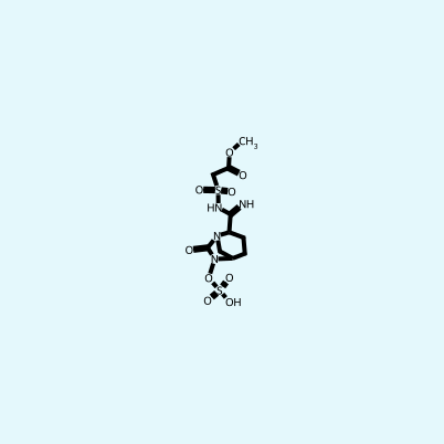 COC(=O)CS(=O)(=O)NC(=N)C1CCC2CN1C(=O)N2OS(=O)(=O)O